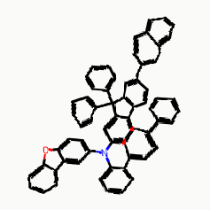 c1ccc(-c2ccc(-c3ccccc3N(c3ccc4c(c3)C(c3ccccc3)(c3ccccc3)c3cc(-c5ccc6ccccc6c5)ccc3-4)c3ccc4oc5ccccc5c4c3)cc2)cc1